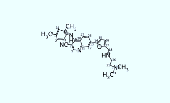 Cc1ccc(Nc2c(C#N)cnc3cc(-c4ccc(CNCCN(C)C)o4)ccc23)c(C)c1